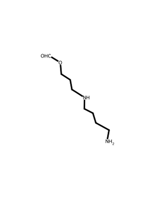 NCCCCNCCCOC=O